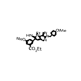 CCOC(=O)c1cc(OC)cc(-c2cc3cnc4c(cnn4Cc4ccc(OC)cc4)c3n(CC)c2=N)c1